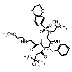 COCCNCC(=O)NN(C(=O)CC(C)(C)C)[C@@H](Cc1ccccc1)[C@H](O)CN(CC(C)C)S(=O)(=O)c1ccc2c(c1)OCCO2